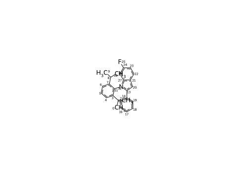 CC(C)c1cccc(C(C)C)c1-n1c(-c2ccccc2)cc2ccc(F)cc21